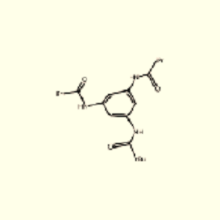 CC(C)C(=O)Nc1cc(NC(=O)C(C)C)cc(NC(=O)C(C)(C)C)c1